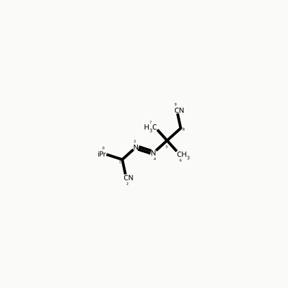 CC(C)C(C#N)N=NC(C)(C)CC#N